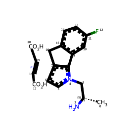 C[C@H](N)Cn1ccc2c1-c1cc(F)ccc1C2.O=C(O)/C=C/C(=O)O